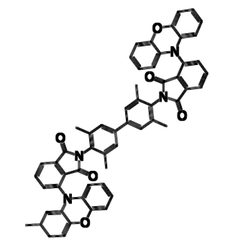 Cc1cc(-c2cc(C)c(N3C(=O)c4cccc(N5c6ccccc6Oc6ccccc65)c4C3=O)c(C)c2)cc(C)c1N1C(=O)c2cccc(N3C4=CC(C)CC=C4Oc4ccccc43)c2C1=O